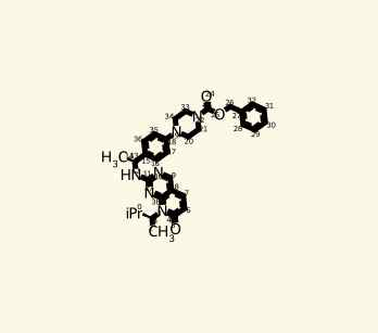 CC(C)[C@H](C)n1c(=O)ccc2cnc(N[C@@H](C)c3ccc(N4CCN(C(=O)OCc5ccccc5)CC4)cc3)nc21